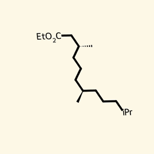 CCOC(=O)C[C@H](C)CCC[C@H](C)CCCC(C)C